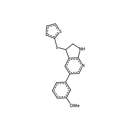 COc1cccc(-c2cnc3c(c2)C(Sc2cccs2)CN3)c1